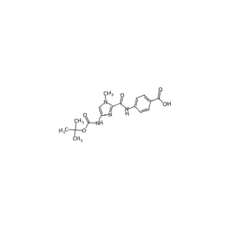 Cn1cc(NC(=O)OC(C)(C)C)nc1C(=O)Nc1ccc(C(=O)O)cc1